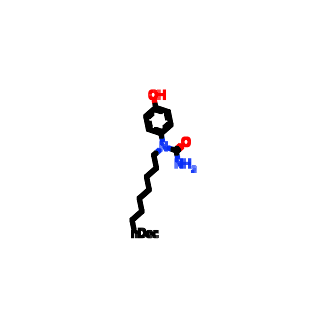 CCCCCCCCCCCCCCCCCN(C(N)=O)c1ccc(O)cc1